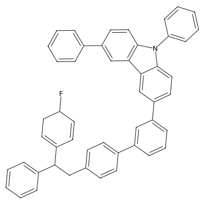 FC1C=CC(C(Cc2ccc(-c3cccc(-c4ccc5c(c4)c4cc(-c6ccccc6)ccc4n5-c4ccccc4)c3)cc2)c2ccccc2)=CC1